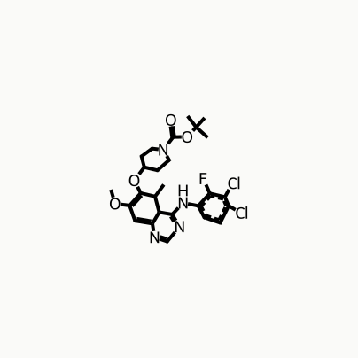 COC1=C(OC2CCN(C(=O)OC(C)(C)C)CC2)C(C)C2C(=C1)N=CN=C2Nc1ccc(Cl)c(Cl)c1F